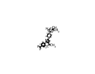 CC(C)c1cc(N2CCN(C(=O)OC(C)(C)C)CC2)nn1-c1ccc(C(F)F)cc1